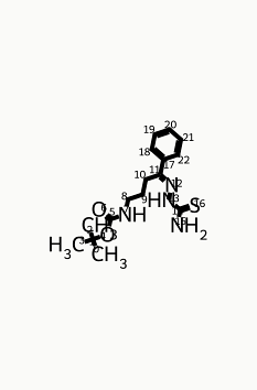 CC(C)(C)OC(=O)NCCCC(=NNC(N)=S)c1ccccc1